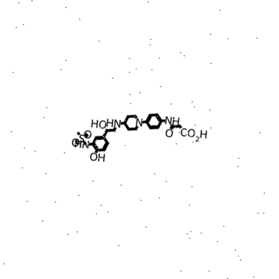 CS(=O)(=O)Nc1cc([C@H](O)CNC2CCN(c3ccc(NC(=O)CC(=O)O)cc3)CC2)ccc1O